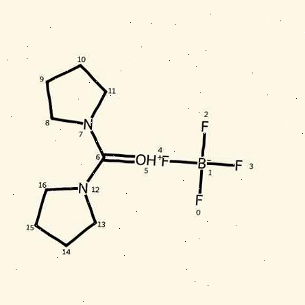 F[B-](F)(F)F.[OH+]=C(N1CCCC1)N1CCCC1